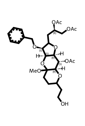 COC12CCC(CCO)O[C@@H]1[C@@H](OC(C)=O)[C@@H]1OC(C[C@H](COC(C)=O)OC(C)=O)[C@H](OCc3ccccc3)[C@@H]1O2